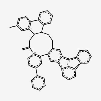 C=C1CC2C(CCc3cc4c(cc3-c3cc(-c5ccccc5)cc[n+]31)c1cccc3c5ccccc5n4c31)c1ccccc1-c1ccc(C)c[n+]12